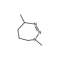 CC1CCCN(C)N=N1